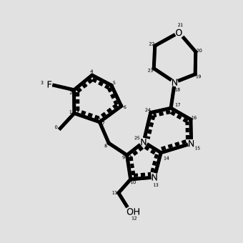 Cc1c(F)cccc1Cc1c(CO)nc2ncc(N3CCOCC3)cn12